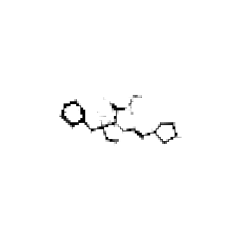 CC(C)C[C@](Cc1ccccc1)(C(=O)O)[C@H](C/C=C/C1CCCC1)C(=O)OC(C)(C)C